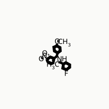 COc1ccc(C(N[C@@H](C)c2cccc(F)c2)c2cccc([N+](=O)[O-])c2)cc1